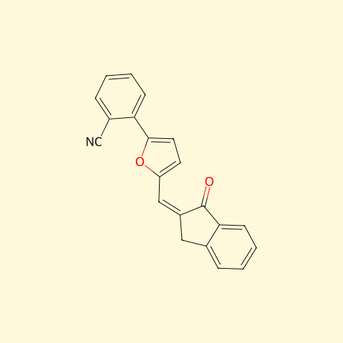 N#Cc1ccccc1-c1ccc(C=C2Cc3ccccc3C2=O)o1